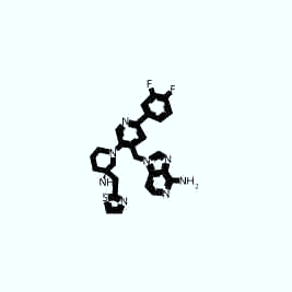 Nc1nccc2c1ncn2Cc1cc(-c2ccc(F)c(F)c2)ncc1N1CCC[C@](N)(Cc2nccs2)C1